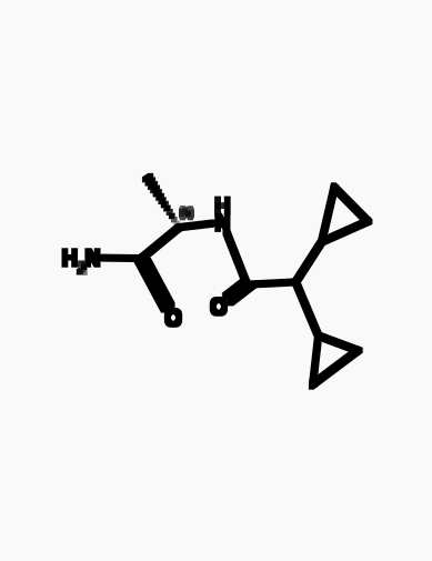 C[C@H](NC(=O)C(C1CC1)C1CC1)C(N)=O